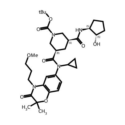 COCCCN1C(=O)C(C)(C)Oc2ccc(N(C(=O)[C@@H]3C[C@H](C(=O)N[C@H]4CCC[C@@H]4O)CN(C(=O)OC(C)(C)C)C3)C3CC3)cc21